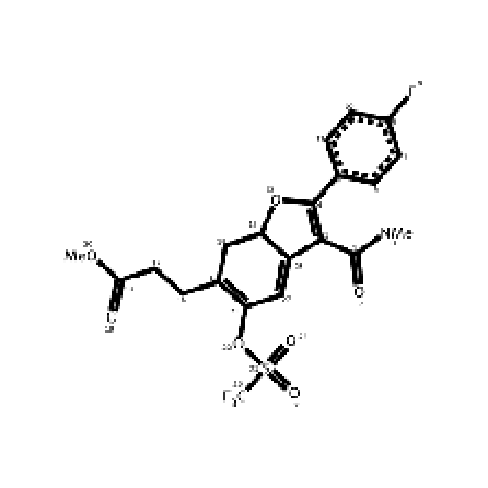 CNC(=O)C1=C(c2ccc(F)cc2)OC2CC(CCC(=O)OC)=C(OS(=O)(=O)C(F)(F)F)C=C12